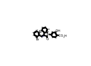 O=C(O)c1ccc(N2C(=O)/C(=C/c3c(Cl)cccc3Br)c3c2cccc3C(F)(F)F)cc1O